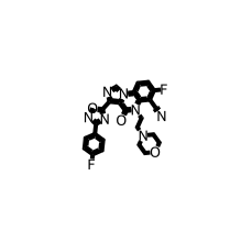 N#Cc1c(F)ccc2c1n(CCN1CCOCC1)c(=O)c1c(-c3nc(-c4ccc(F)cc4)no3)ncn12